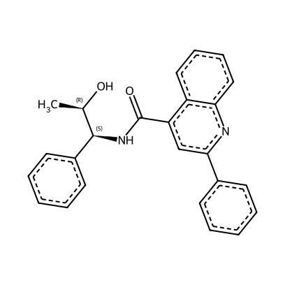 C[C@@H](O)[C@@H](NC(=O)c1cc(-c2ccccc2)nc2ccccc12)c1ccccc1